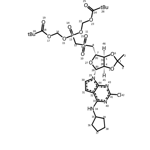 CC1(C)O[C@@H]2[C@H](O1)[C@@H](CS(=O)(=O)CP(=O)(OCOC(=O)C(C)(C)C)OCOC(=O)C(C)(C)C)O[C@H]2n1ccc2c(NC3CCCC3)nc(Cl)nc21